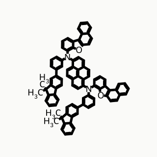 CC1(C)c2ccccc2-c2cc(-c3cccc(N(c4ccc5ccc6c(N(c7cccc(-c8ccc9c(c8)C(C)(C)c8ccccc8-9)c7)c7cccc8c7oc7ccc9ccccc9c78)ccc7ccc4c5c76)c4cccc5c4oc4ccc6ccccc6c45)c3)ccc21